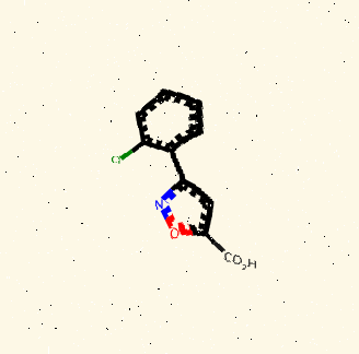 O=C(O)c1cc(-c2ccccc2Cl)no1